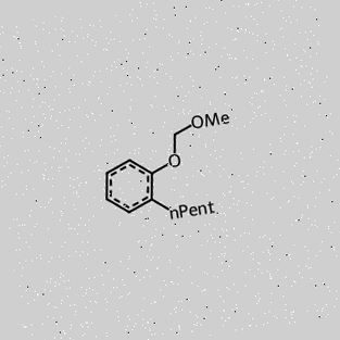 CCCCCc1ccccc1OCOC